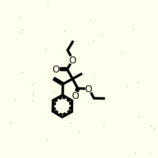 C=C(c1ccccc1)C(C)(C(=O)OCC)C(=O)OCC